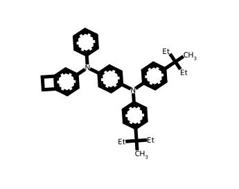 CCC(C)(CC)c1ccc(N(c2ccc(N(c3ccccc3)c3ccc4c(c3)CC4)cc2)c2ccc(C(C)(CC)CC)cc2)cc1